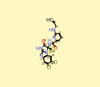 C#CCNc1cccc(C(=O)NC2(C(F)(F)F)C(=O)Nc3nc4cc(Cl)c(Cl)cc4n32)n1